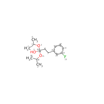 CC(C)O[Si](O)(CCc1cccc(F)c1)OC(C)C